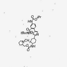 CC(C)OC(=O)Nc1ccc(-c2cnc(C3CCC(NC(=O)OCC4CCCN4C)CC3)s2)c(S(=O)(=O)NC(C)(C)C)c1